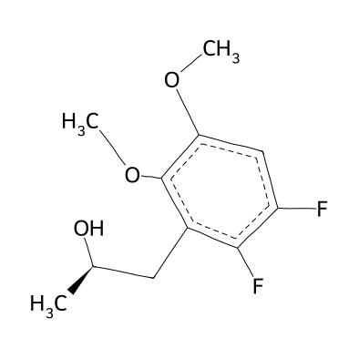 COc1cc(F)c(F)c(C[C@@H](C)O)c1OC